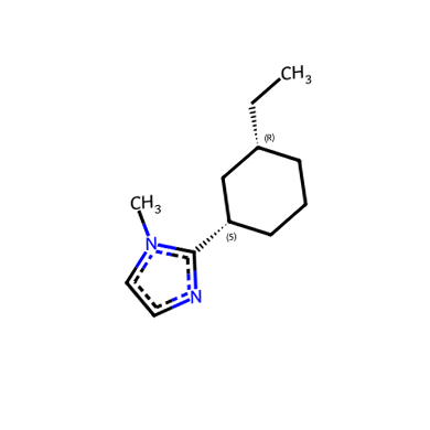 CC[C@@H]1CCC[C@H](c2nccn2C)C1